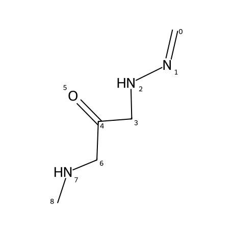 C=NNCC(=O)CNC